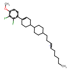 CCCCC/C=C/CCC1CCC(C2CC=C(c3ccc(OC)c(F)c3F)CC2)CC1